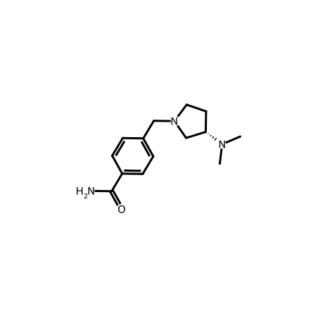 CN(C)[C@H]1CCN(Cc2ccc(C(N)=O)cc2)C1